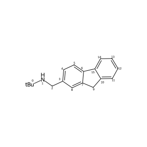 CC(C)(C)NCc1ccc2c(c1)Cc1ccccc1-2